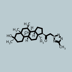 Cc1nnn(CC(=O)[C@@H]2CC[C@H]3[C@@H]4[C@H](C)C[C@@]5(C)C[C@](C)(O)CC[C@]5(C)[C@H]4CC[C@]23C)n1